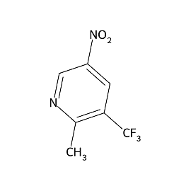 Cc1ncc([N+](=O)[O-])cc1C(F)(F)F